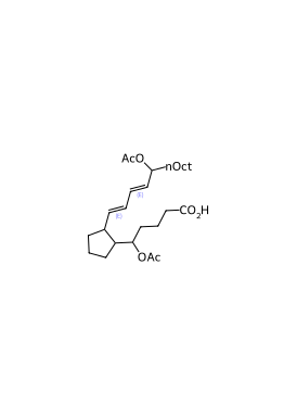 CCCCCCCCC(/C=C/C=C/C1CCCC1C(CCCC(=O)O)OC(C)=O)OC(C)=O